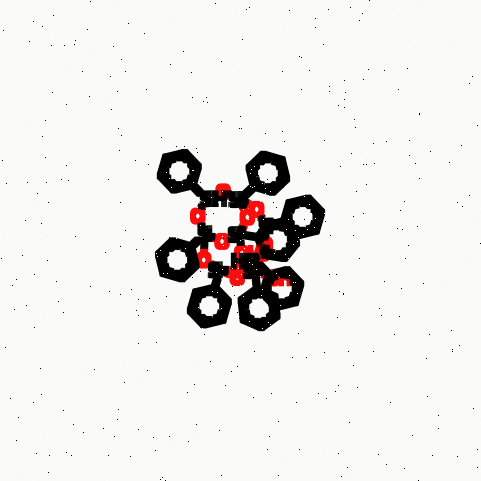 O[Si]1(c2ccccc2)O[Si]2(c3ccccc3)O[SiH](c3ccccc3)O[Si](c3ccccc3)(O1)O[Si]1(c3ccccc3)O[SiH](c3ccccc3)O[Si](c3ccccc3)(O[Si](O)(c3ccccc3)O1)O2